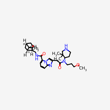 COCCCN(C(=O)Cc1cn2c(C(=O)NC[C@@H]3CC[C@@H]4C[C@@H]3C4(C)C)cccc2n1)C1CCNCC1(C)C